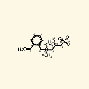 C=Cc1ccccc1C[N+](C)(C)CC(O)CS(=O)(=O)[O-]